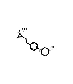 CCOC(=O)[C@H]1C[C@@H]1CCc1ccc([C@@H]2CCC[C@@H](O)C2)cc1